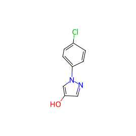 Oc1cnn(-c2ccc(Cl)cc2)c1